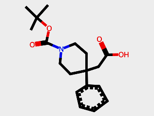 CC(C)(C)OC(=O)N1CCC(CC(=O)O)(c2ccccc2)CC1